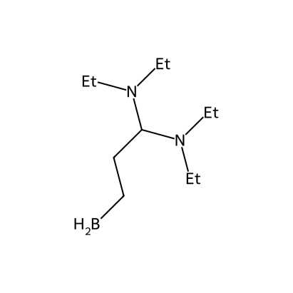 BCCC(N(CC)CC)N(CC)CC